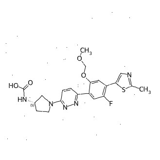 COCOc1cc(-c2cnc(C)s2)c(F)cc1-c1ccc(N2CC[C@H](NC(=O)O)C2)nn1